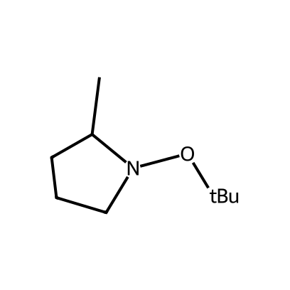 CC1CCCN1OC(C)(C)C